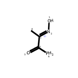 C/C(=N\O)C(=O)P